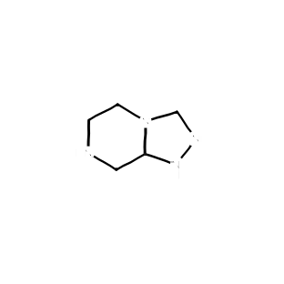 C1CN2CNNC2CN1